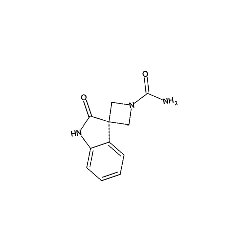 NC(=O)N1CC2(C1)C(=O)Nc1ccccc12